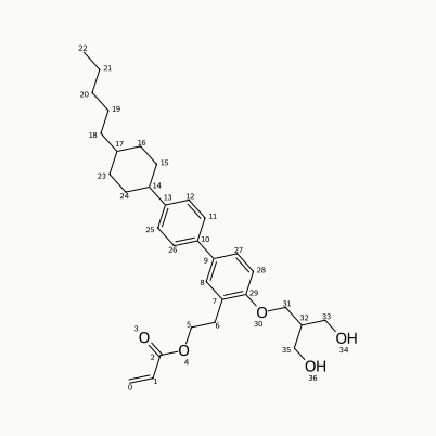 C=CC(=O)OCCc1cc(-c2ccc(C3CCC(CCCCC)CC3)cc2)ccc1OCC(CO)CO